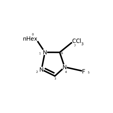 CCCCCCN1N=CN(F)C1C(Cl)(Cl)Cl